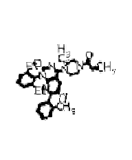 C=CC(=O)N1CCN(c2nc(=O)n(-c3c(CC)cccc3CC)c3nc(-c4ccccc4C)c(Cl)cc23)[C@@H](C)C1